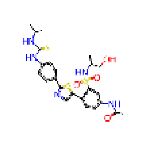 CC(=O)Nc1ccc(-c2cnc(-c3ccc(NC(=S)NC(C)C)cc3)s2)c(S(=O)(=O)NC(C)CO)c1